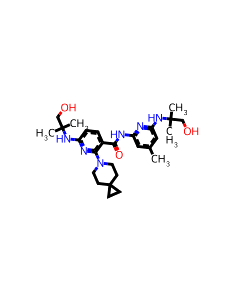 Cc1cc(NC(=O)c2ccc(NC(C)(C)CO)nc2N2CCC3(CC2)CC3)nc(NC(C)(C)CO)c1